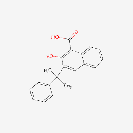 CC(C)(c1ccccc1)c1cc2ccccc2c(C(=O)O)c1O